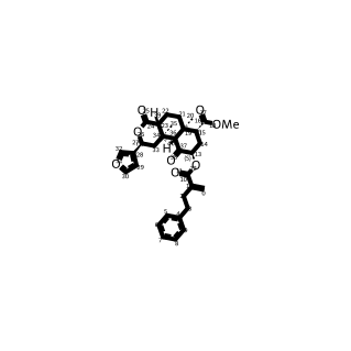 C=C(CCc1ccccc1)C(=O)O[C@H]1C[C@@H](C(=O)OC)[C@]2(C)CC[C@H]3C(=O)O[C@H](c4ccoc4)C[C@]3(C)[C@H]2C1=O